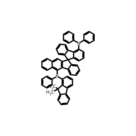 CC1(C)c2ccccc2-c2cccc(N(c3ccccc3)c3c4c(cc5ccccc35)C3(c5ccccc5-c5c(N(c6ccccc6)c6ccccc6)cccc53)c3ccccc3-4)c21